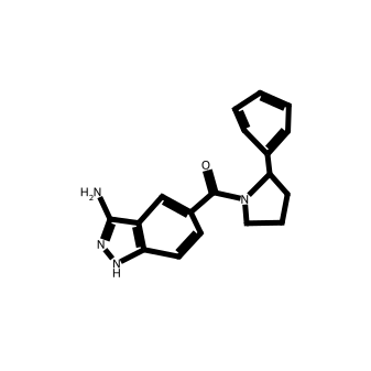 Nc1n[nH]c2ccc(C(=O)N3CCCC3c3ccccc3)cc12